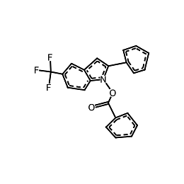 O=C(On1c(-c2ccccc2)cc2cc(C(F)(F)F)ccc21)c1ccccc1